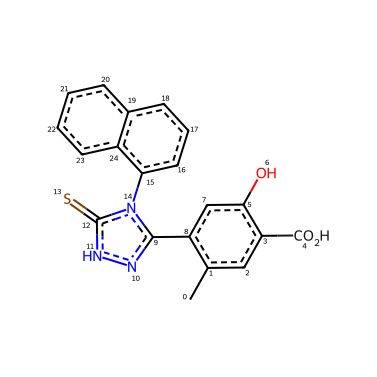 Cc1cc(C(=O)O)c(O)cc1-c1n[nH]c(=S)n1-c1cccc2ccccc12